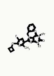 CCCn1c(=O)c2c(nc(-c3cc(F)c(OC4CCC4)nc3C)n2Cc2ccccc2)n(CC)c1=O